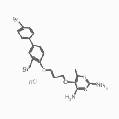 Cc1nc(N)nc(N)c1OCCCOc1ccc(-c2ccc(Br)cc2)cc1Br.Cl